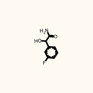 NC(=O)C(O)c1cccc(F)c1